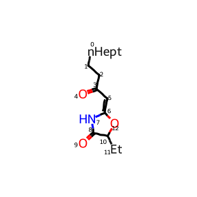 CCCCCCCCCC(=O)/C=C1\NC(=O)C(CC)O1